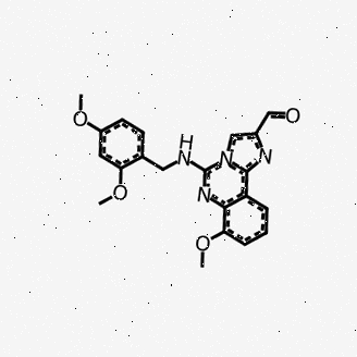 COc1ccc(CNc2nc3c(OC)cccc3c3nc(C=O)cn23)c(OC)c1